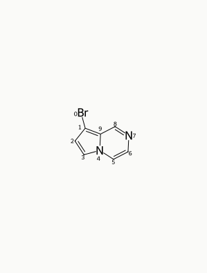 Brc1ccn2ccncc12